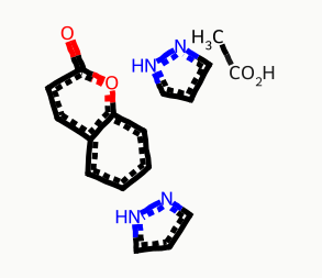 CC(=O)O.O=c1ccc2ccccc2o1.c1cn[nH]c1.c1cn[nH]c1